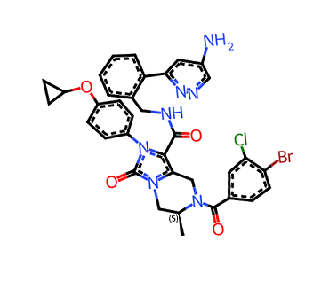 C[C@H]1Cn2c(c(C(=O)NCc3ccccc3-c3cc(N)cnn3)n(-c3ccc(OC4CC4)cc3)c2=O)CN1C(=O)c1ccc(Br)c(Cl)c1